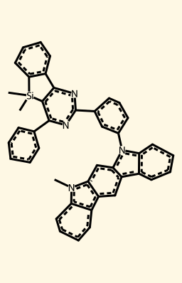 Cn1c2ccccc2c2cc3c4ccccc4n(-c4cccc(-c5nc(-c6ccccc6)c6c(n5)-c5ccccc5[Si]6(C)C)c4)c3cc21